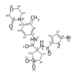 Cc1cc(NC(=O)C2(NC(=O)c3ccc(Br)s3)CCS(=O)(=O)C2)ccc1N1CCOCC1=O